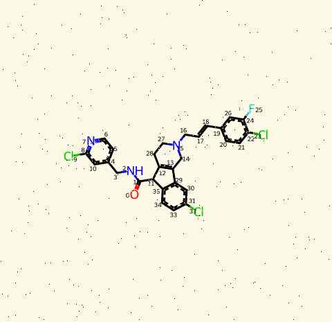 O=C(NCc1ccnc(Cl)c1)C1C2=C(CN(C/C=C/c3ccc(Cl)c(F)c3)CC2)c2cc(Cl)ccc21